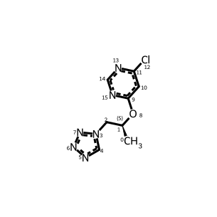 C[C@@H](Cn1cnnn1)Oc1cc(Cl)ncn1